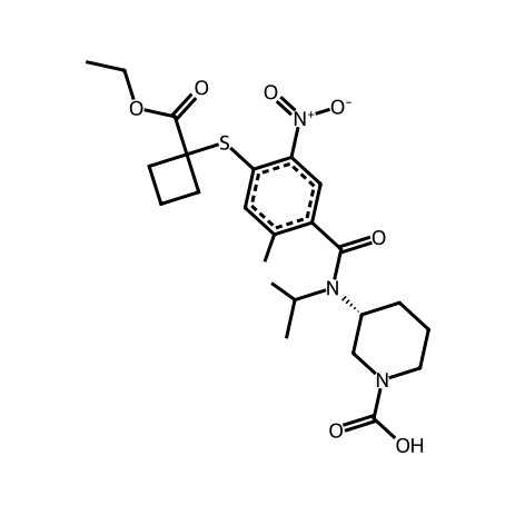 CCOC(=O)C1(Sc2cc(C)c(C(=O)N(C(C)C)[C@@H]3CCCN(C(=O)O)C3)cc2[N+](=O)[O-])CCC1